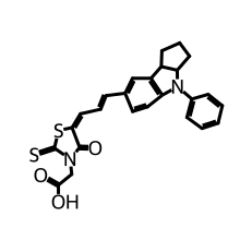 O=C(O)CN1C(=O)/C(=C\C=C\c2ccc3c(c2)C2CCCC2N3c2ccccc2)SC1=S